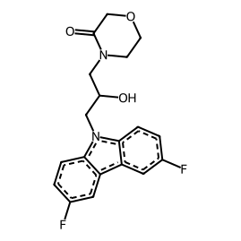 O=C1COCCN1CC(O)Cn1c2ccc(F)cc2c2cc(F)ccc21